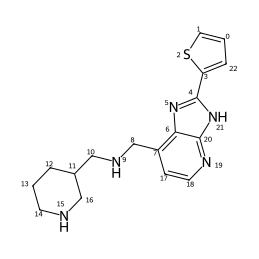 c1csc(-c2nc3c(CNCC4CCCNC4)ccnc3[nH]2)c1